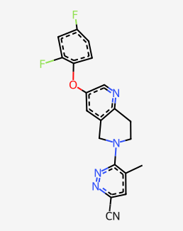 Cc1cc(C#N)nnc1N1CCc2ncc(Oc3ccc(F)cc3F)cc2C1